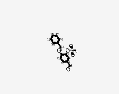 CS(=O)(=O)Oc1cc(C=O)ccc1OCc1ccccc1